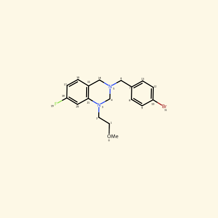 COCCN1CN(Cc2ccc(Br)cc2)Cc2ccc(F)cc21